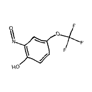 O=Nc1cc(OC(F)(F)F)ccc1O